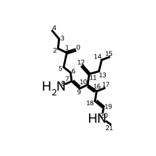 C=C(CCC)CC\C(N)=C/C(C(=C)CCC)=C(C)\C=C\NC